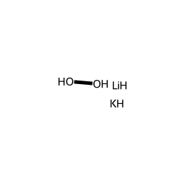 OO.[KH].[LiH]